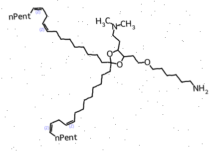 CCCCC/C=C\C/C=C\CCCCCCCCC1(CCCCCCCC/C=C\C/C=C\CCCCC)OC(CCOCCCCCCN)C(CCN(C)C)O1